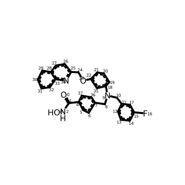 O=C(NO)c1ccc(CN(Cc2cccc(F)c2)c2cccc(OCc3ccc4ccccc4n3)c2)cc1